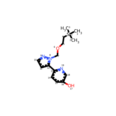 C[Si](C)(C)CCOCn1nccc1-c1ccc(O)cn1